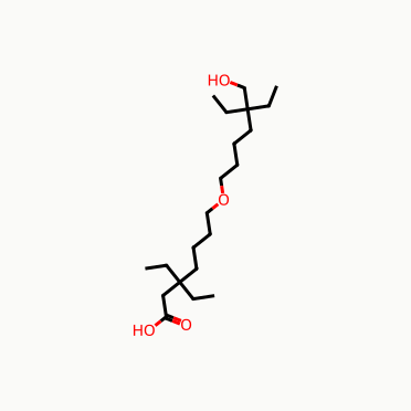 CCC(CC)(CO)CCCCOCCCCC(CC)(CC)CC(=O)O